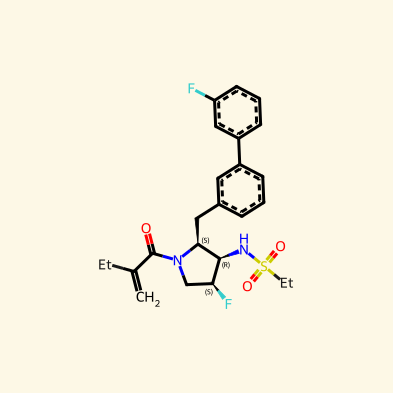 C=C(CC)C(=O)N1C[C@H](F)[C@H](NS(=O)(=O)CC)[C@@H]1Cc1cccc(-c2cccc(F)c2)c1